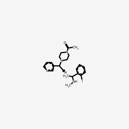 CC(=O)N1CCN(C(C#N)c2cccnc2)CC1.CNC(C)c1ccccc1I